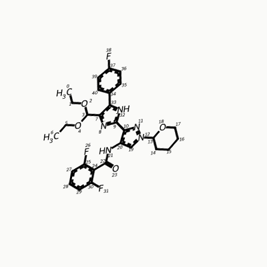 CCOC(OCC)c1nc(-c2nn(C3CCCCO3)cc2NC(=O)c2c(F)cccc2F)[nH]c1-c1ccc(F)cc1